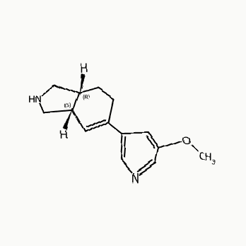 COc1cncc(C2=C[C@@H]3CNC[C@@H]3CC2)c1